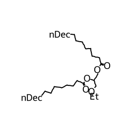 CCCCCCCCCCCCCCCCCC(=O)OCC(COCC)OC(=O)CCCCCCCCCCCCCCCCC